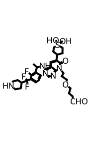 CC(Nc1ncnc2c1cc(C1CCS(O)(O)CC1)c(=O)n2CCCOCCCC=O)c1cccc(C(F)(F)C2CCNCC2)c1F